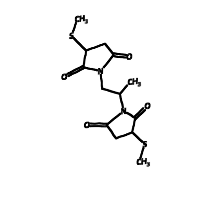 CSC1CC(=O)N(CC(C)N2C(=O)CC(SC)C2=O)C1=O